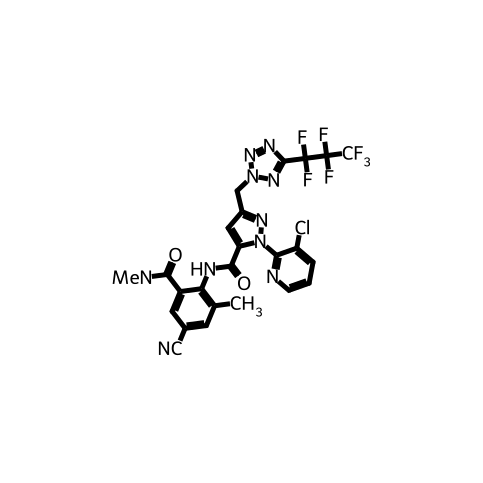 CNC(=O)c1cc(C#N)cc(C)c1NC(=O)c1cc(Cn2nnc(C(F)(F)C(F)(F)C(F)(F)F)n2)nn1-c1ncccc1Cl